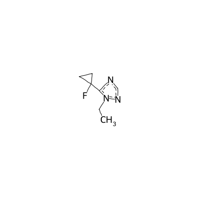 CCn1ncnc1C1(F)CC1